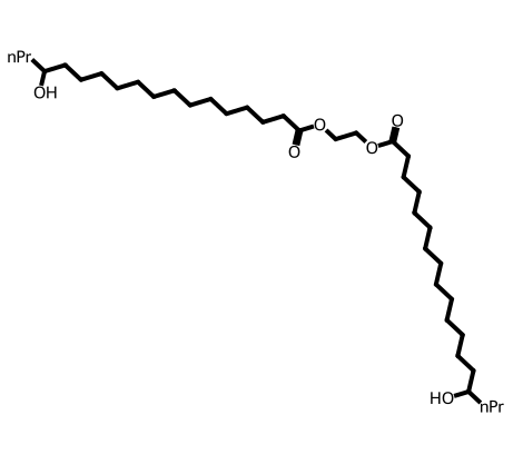 CCCC(O)CCCCCCCCCCCCCC(=O)OCCOC(=O)CCCCCCCCCCCCCC(O)CCC